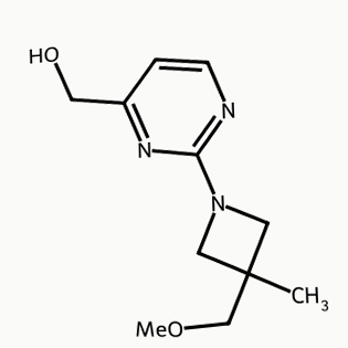 COCC1(C)CN(c2nccc(CO)n2)C1